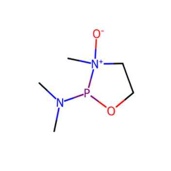 CN(C)P1OCC[N+]1(C)[O-]